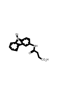 CCn1c2ccccc2c2cc(NC(=O)CCC(=O)O)ccc21